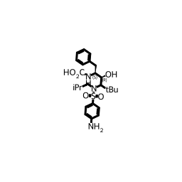 CC(C)CN(C([C@H](O)[C@H](Cc1ccccc1)NC(=O)O)C(C)(C)C)S(=O)(=O)c1ccc(N)cc1